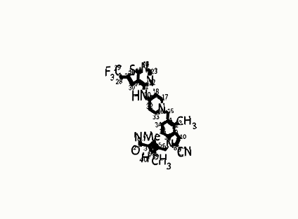 CNC(=O)C12CC(Cn3c(C#N)cc4c(C)c(CN5CCC(Nc6ncnc7sc(CC(F)(F)F)cc67)CC5)ccc43)(C1)[C@@H]2C